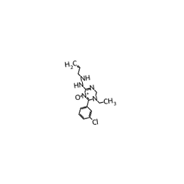 C=CCNNC1=NCN(CC)C(c2cccc(Cl)c2)=[N+]1[O-]